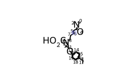 CN(C)C(=O)/C=C/CCN(CCOc1ccc(I)cc1)C(=O)O